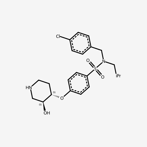 CC(C)CN(Cc1ccc(Cl)cc1)S(=O)(=O)c1ccc(O[C@H]2CCNC[C@@H]2O)cc1